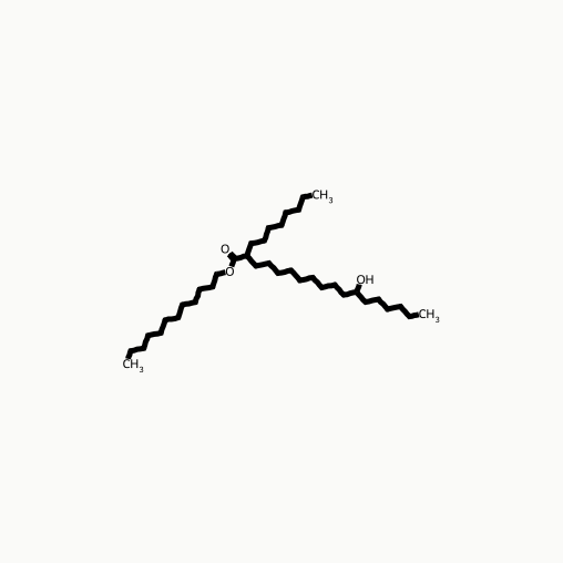 CCCCCCCCCCCCOC(=O)C(CCCCCCCC)CCCCCCCCCC(O)CCCCCC